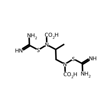 CC(CN(SC(=N)N)C(=O)O)N(SC(=N)N)C(=O)O